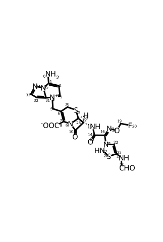 Nc1cc[n+](CC2=C(C(=O)[O-])N3C(=O)[C@@H](NC(=O)C(=NOCF)N4C=C(NC=O)SN4)[C@@H]3SC2)c2ccnn12